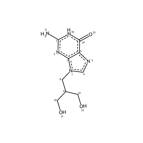 Nc1nc2c(ncn2CC(CO)CO)c(=O)[nH]1